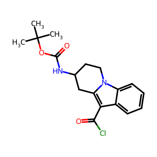 CC(C)(C)OC(=O)NC1CCn2c(c(C(=O)Cl)c3ccccc32)C1